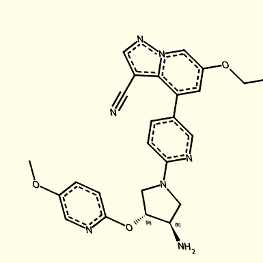 CCOc1cc(-c2ccc(N3C[C@@H](N)[C@H](Oc4ccc(OC)cn4)C3)nc2)c2c(C#N)cnn2c1